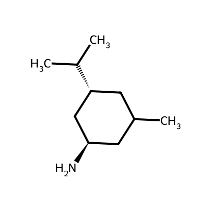 CC1C[C@@H](N)C[C@H](C(C)C)C1